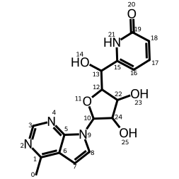 Cc1ncnc2c1ccn2C1OC(C(O)c2cccc(=O)[nH]2)C(O)C1O